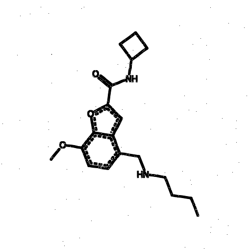 CCCCNCc1ccc(OC)c2oc(C(=O)NC3CCC3)cc12